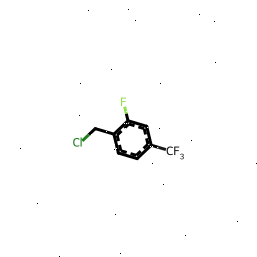 Fc1cc(C(F)(F)F)ccc1CCl